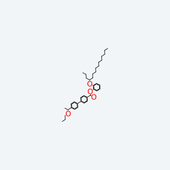 CCCCCCCCCCCC(CCC)Oc1ccccc1OC(=O)c1ccc(-c2ccc(C(C)OCCC)cc2)cc1